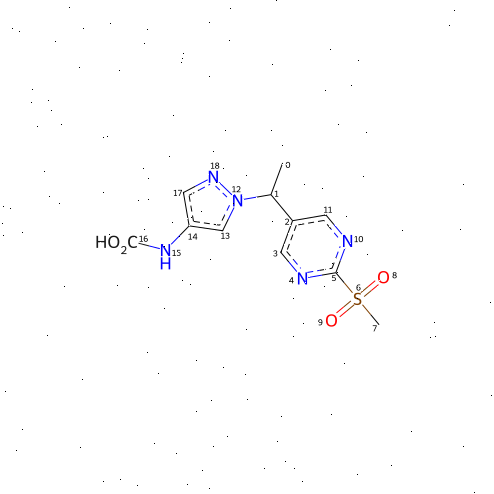 CC(c1cnc(S(C)(=O)=O)nc1)n1cc(NC(=O)O)cn1